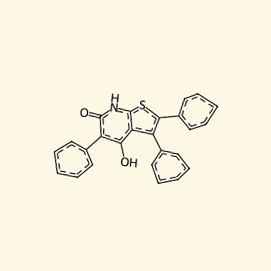 O=c1[nH]c2sc(-c3ccccc3)c(-c3ccccc3)c2c(O)c1-c1ccccc1